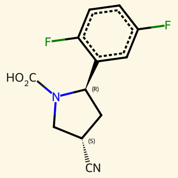 N#C[C@H]1C[C@H](c2cc(F)ccc2F)N(C(=O)O)C1